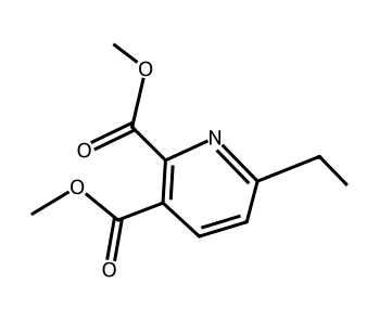 CCc1ccc(C(=O)OC)c(C(=O)OC)n1